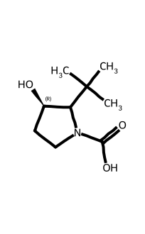 CC(C)(C)C1[C@H](O)CCN1C(=O)O